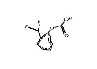 O=C(O)Oc1ccccc1C(F)F